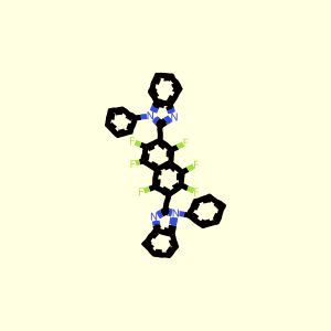 Fc1c(-c2nc3ccccc3n2-c2ccccc2)c(F)c2c(F)c(F)c(-c3nc4ccccc4n3-c3ccccc3)c(F)c2c1F